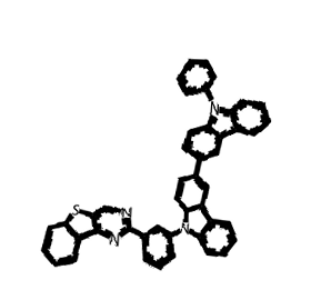 C1=CC2Sc3cnc(-c4cccc(N5c6ccccc6C6C=C(c7ccc8c(c7)c7ccccc7n8-c7ccccc7)C=CC65)c4)nc3C2C=C1